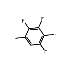 [CH2]c1c(F)cc(C)c(F)c1F